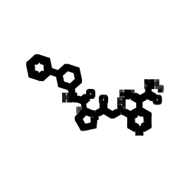 N=C(C(N)=O)c1ccncc1NCC(=O)N1CCC[C@H]1C(=O)NC1CCCC(c2ccccc2)C1